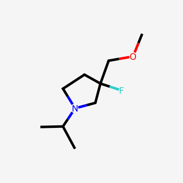 COCC1(F)CCN(C(C)C)C1